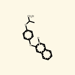 CCOC(=O)C(C)Oc1ccc(Oc2cc3ccccc3c[n+]2[O-])cc1